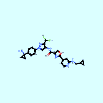 NC1(c2ccc(-n3cc(NC(=O)c4coc(-c5ccnc(NCC6CC6)c5)n4)c(C(F)F)n3)cc2)CC1